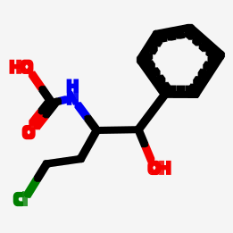 O=C(O)NC(CCCl)C(O)c1ccccc1